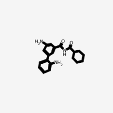 Nc1cc(C(=O)NC(=O)C2CCCCC2)cc(-c2cc[c]cc2N)c1